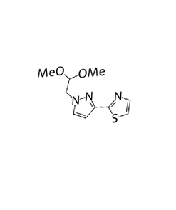 COC(Cn1ccc(-c2nccs2)n1)OC